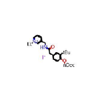 CCCCCCCCCCOc1ccc(CC(=O)NCc2ccc[n+](CC)c2)cc1C(C)(C)C.[I-]